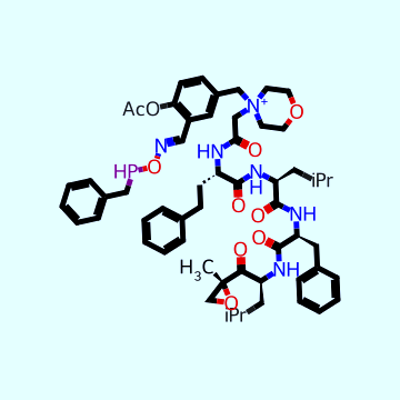 CC(=O)Oc1ccc(C[N+]2(CC(=O)N[C@@H](CCc3ccccc3)C(=O)N[C@@H](CC(C)C)C(=O)N[C@@H](Cc3ccccc3)C(=O)N[C@@H](CC(C)C)C(=O)[C@@]3(C)CO3)CCOCC2)cc1/C=N/OPCc1ccccc1